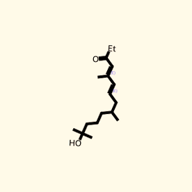 CCC(=O)/C=C(C)/C=C/CC(C)CCCC(C)(C)O